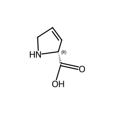 O=C(O)[C@H]1C=CCN1